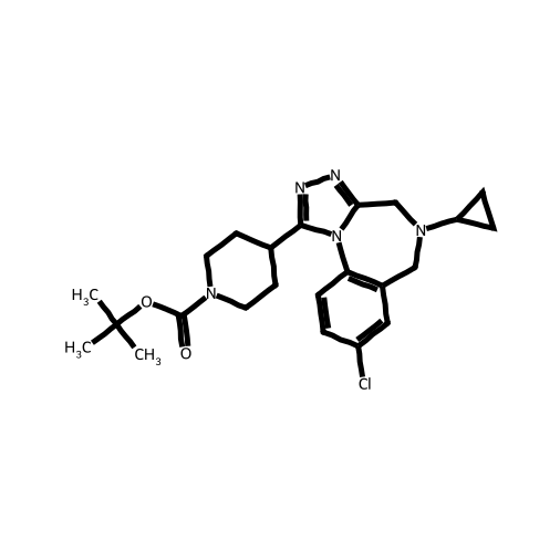 CC(C)(C)OC(=O)N1CCC(c2nnc3n2-c2ccc(Cl)cc2CN(C2CC2)C3)CC1